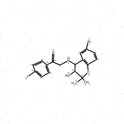 CC(=O)c1ccc2c(c1)C(NCC(=O)c1ccc(F)cc1)C(O)C(C)(C)O2